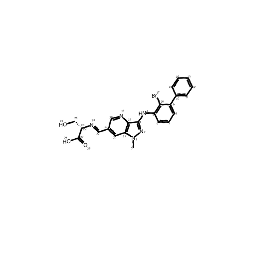 Cn1nc(Nc2cccc(-c3ccccc3)c2Br)c2ncc(C=N[C@@H](CO)C(=O)O)cc21